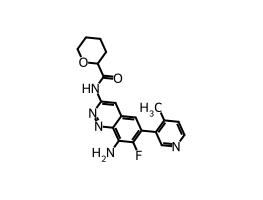 Cc1ccncc1-c1cc2cc(NC(=O)C3CCCCO3)nnc2c(N)c1F